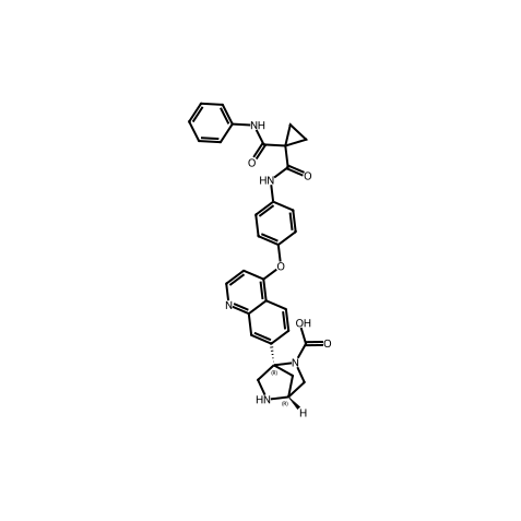 O=C(O)N1C[C@H]2C[C@@]1(c1ccc3c(Oc4ccc(NC(=O)C5(C(=O)Nc6ccccc6)CC5)cc4)ccnc3c1)CN2